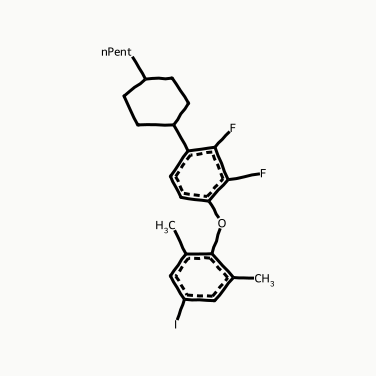 CCCCCC1CCC(c2ccc(Oc3c(C)cc(I)cc3C)c(F)c2F)CC1